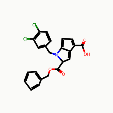 O=C(O)C1=CC=C2C1=CC(C(=O)OCc1ccccc1)N2Cc1ccc(Cl)c(Cl)c1